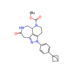 CC(C)(C)OC(=O)N1CCc2c3c(nn2-c2ccc(C45CC(C4)C5)cc2)CC(=O)NCC31